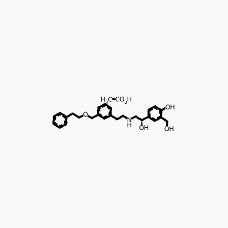 CC(=O)O.OCc1cc([C@@H](O)CNCCc2cccc(COCCc3ccccc3)c2)ccc1O